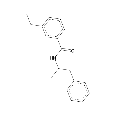 CCc1cccc(C(=O)NC(C)Cc2ccccc2)c1